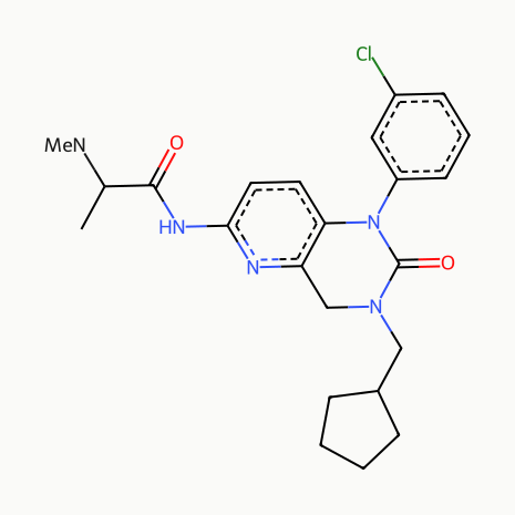 CNC(C)C(=O)Nc1ccc2c(n1)CN(CC1CCCC1)C(=O)N2c1cccc(Cl)c1